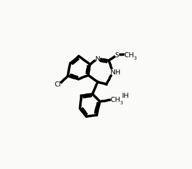 CSC1=Nc2ccc(Cl)cc2C(c2ccccc2C)CN1.I